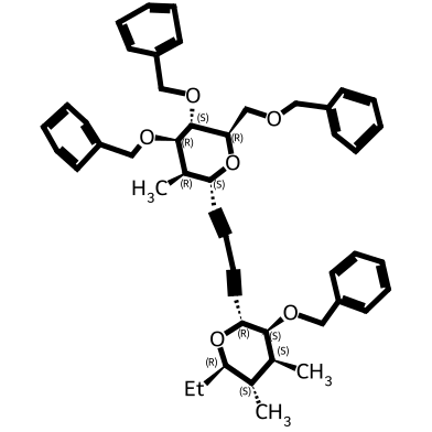 CC[C@H]1O[C@H](C#CC#C[C@H]2O[C@H](COCc3ccccc3)[C@@H](OCc3ccccc3)[C@H](OCc3ccccc3)[C@@H]2C)[C@@H](OCc2ccccc2)[C@@H](C)[C@@H]1C